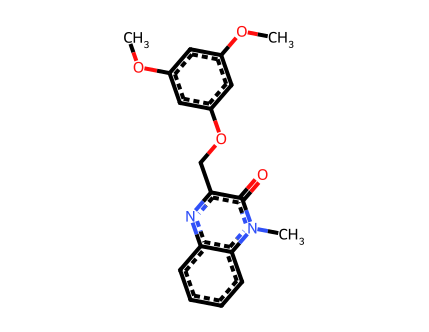 COc1cc(OC)cc(OCc2nc3ccccc3n(C)c2=O)c1